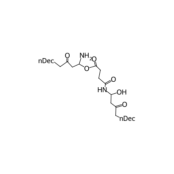 CCCCCCCCCCCC(=O)CC(O)NC(=O)CCC(=O)OC(N)CC(=O)CCCCCCCCCCC